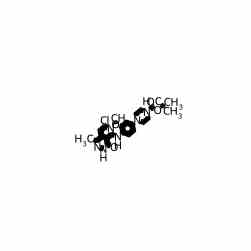 COc1cc(N2CCN(C(=O)OC(C)(C)C)CC2)ccc1Nc1nc(Cl)cc2c(C)n[nH]c(=O)c12